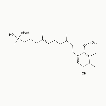 CCCCCCCCOC1=C(C)C(C)C(O)C=C1CCC(C)CC/C=C(\C)CCCC(C)(O)CCCCC